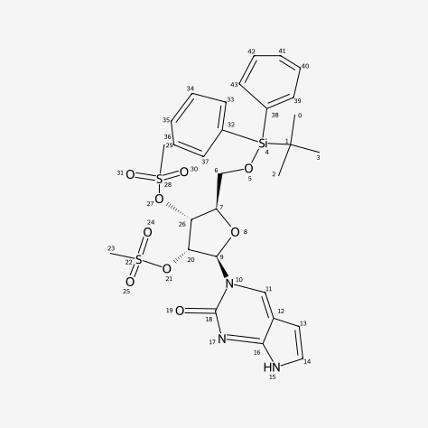 CC(C)(C)[Si](OC[C@H]1O[C@@H](n2cc3cc[nH]c3nc2=O)[C@H](OS(C)(=O)=O)[C@@H]1OS(C)(=O)=O)(c1ccccc1)c1ccccc1